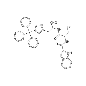 CC(C)C[C@H](NC(=O)c1cc2ccccc2[nH]1)C(=O)N[C@H](C=O)Cc1cn(C(c2ccccc2)(c2ccccc2)c2ccccc2)cn1